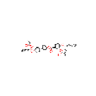 C=CC(=O)OC(CCCCCCCC)OC1=CC=C(c2ccc(OC(=O)c3ccc(OC(CCCCC)C4CC(=C)C(=O)O4)cc3)cc2)CC1